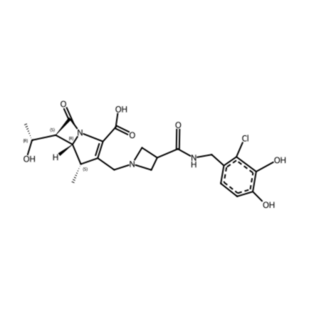 C[C@@H](O)[C@H]1C(=O)N2C(C(=O)O)=C(CN3CC(C(=O)NCc4ccc(O)c(O)c4Cl)C3)[C@H](C)[C@H]12